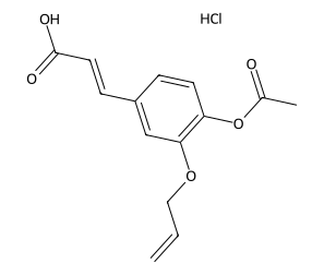 C=CCOc1cc(C=CC(=O)O)ccc1OC(C)=O.Cl